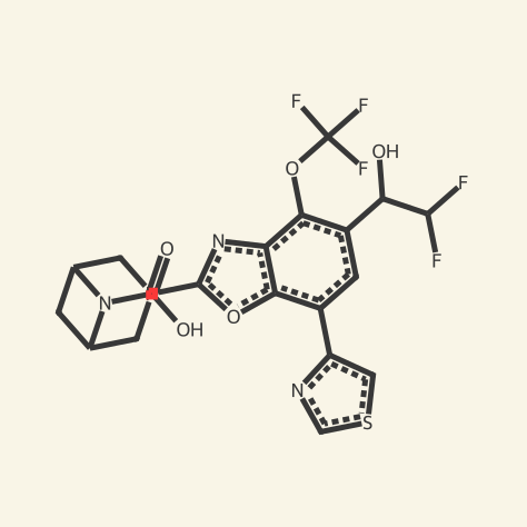 O=C(O)N1C2CC1CN(c1nc3c(OC(F)(F)F)c(C(O)C(F)F)cc(-c4cscn4)c3o1)C2